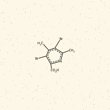 Cc1nc(C(=O)O)c(Br)c(C)c1Br